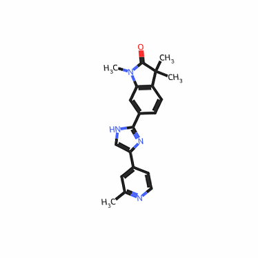 Cc1cc(-c2c[nH]c(-c3ccc4c(c3)N(C)C(=O)C4(C)C)n2)ccn1